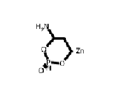 NC1CCO[PH](=O)O1.[Zn]